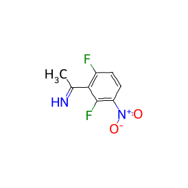 CC(=N)c1c(F)ccc([N+](=O)[O-])c1F